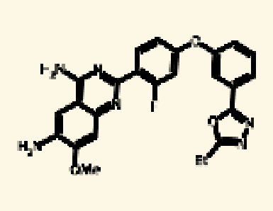 CCc1nnc(-c2cccc(Oc3ccc(-c4nc(N)c5cc(N)c(OC)cc5n4)c(F)c3)c2)o1